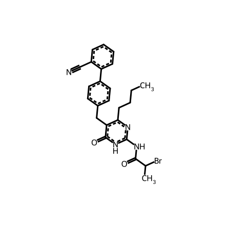 CCCCc1nc(NC(=O)C(C)Br)[nH]c(=O)c1Cc1ccc(-c2ccccc2C#N)cc1